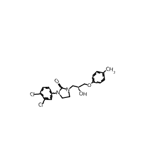 Cc1ccc(OC[C@@H](O)CN2CCN(c3ccc(Cl)c(Cl)c3)C2=O)cc1